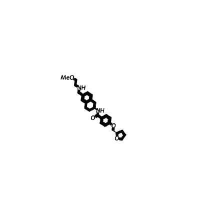 COCCNCc1ccc2c(c1)CC[C@H](NC(=O)c1ccc(OC[C@@H]3CCCO3)cc1)C2